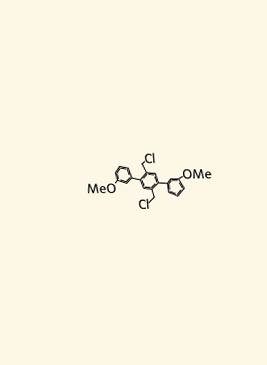 COc1cccc(-c2cc(CCl)c(-c3cccc(OC)c3)cc2CCl)c1